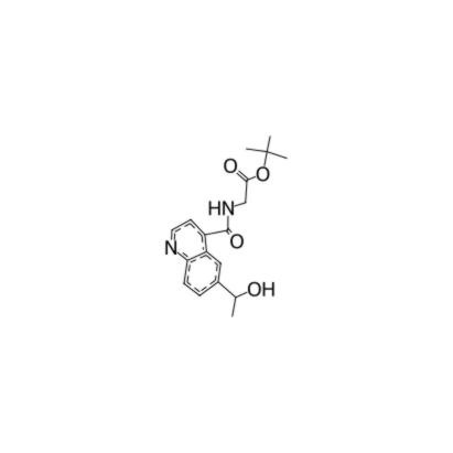 CC(O)c1ccc2nccc(C(=O)NCC(=O)OC(C)(C)C)c2c1